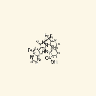 Cc1cccc(C(=O)O)c1Nc1c(-c2cc(F)c3nccnc3c2)c(C)nn1-c1ccccc1C(F)(F)F